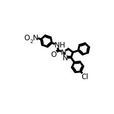 O=C(Nc1ccc([N+](=O)[O-])cc1)N1CC(c2ccccc2)C(c2ccc(Cl)cc2)=N1